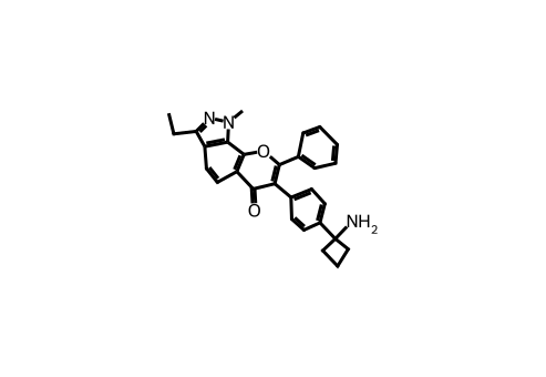 CCc1nn(C)c2c1ccc1c(=O)c(-c3ccc(C4(N)CCC4)cc3)c(-c3ccccc3)oc12